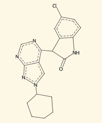 O=C1Nc2ccc(Cl)cc2C1c1ncnc2nn(C3CCCCC3)cc12